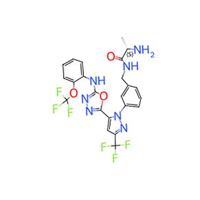 C[C@H](N)C(=O)NCc1cccc(-n2nc(C(F)(F)F)cc2-c2nnc(Nc3ccccc3OC(F)(F)F)o2)c1